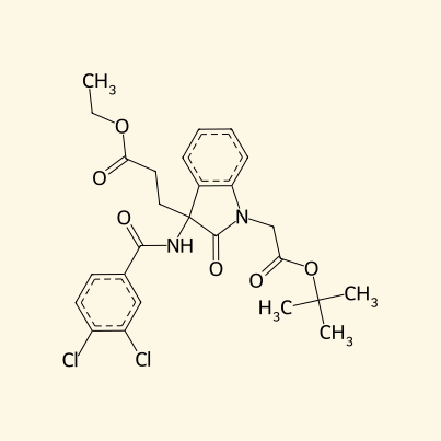 CCOC(=O)CCC1(NC(=O)c2ccc(Cl)c(Cl)c2)C(=O)N(CC(=O)OC(C)(C)C)c2ccccc21